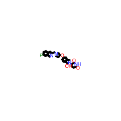 O=C1CCC(N2Cc3cc(O[C@H]4CCN(Cc5cc6ccc(F)cc6cn5)C4)ccc3C2O)C(=O)N1